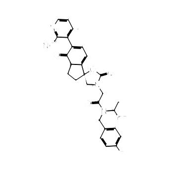 CC(N(Cc1ccc(F)cc1)C(=O)CN1C[C@]2(CCC3C(=O)C(c4cccnc4C#N)=CC=C32)OC1=O)C(F)(F)F